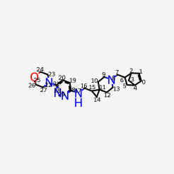 C1=CC2CC1CC2CN1CCC2(CC1)CC2CNc1ccc(N2CCOCC2)nn1